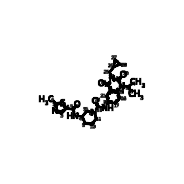 Cc1ncc(C(=O)N[C@@H]2CCCN(C(=O)Nc3ccc4c(c3)c(=O)n(CC3CC3)c(=O)n4C(C)C)C2)s1